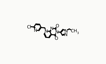 CCn1cc(-n2c(=O)nc3n(Cc4ccc(Cl)nc4)cccc-3c2=O)cn1